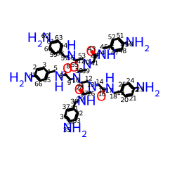 Nc1ccc(CNC(=O)CN(CCN(CC(=O)NCc2ccc(N)cc2)CC(=O)NCc2ccc(N)cc2)CCN(CC(=O)NCc2ccc(N)cc2)CC(=O)NCc2ccc(N)cc2)cc1